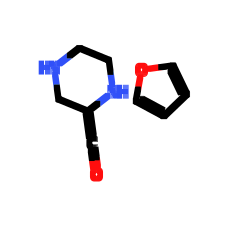 O=C=C1CNCCN1.c1ccoc1